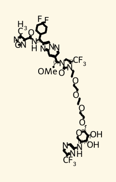 COC[C@H](c1cnn2cc([C@@H](NC(=O)c3nonc3C)C3CCC(F)(F)CC3)nc2c1)N1C[C@@H](C(F)(F)F)N(CCOCCOCCOCCOC[C@H]2OC[C@H](Nc3cncc(C(F)(F)F)n3)[C@@H](O)[C@H]2O)C1=O